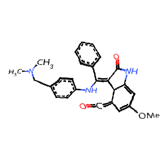 COC1=CC(=C=O)C2C(=C1)NC(=O)C2=C(Nc1ccc(CN(C)C)cc1)c1ccccc1